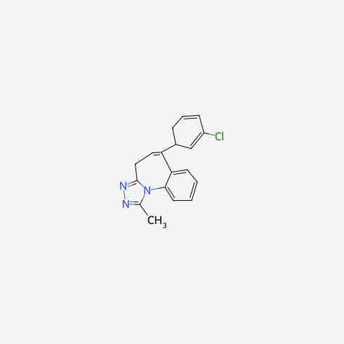 Cc1nnc2n1-c1ccccc1C(C1C=C(Cl)C=CC1)=CC2